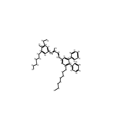 CCCCCCCCc1cc(N=CC(C)=Nc2cc(CC)c(C)c(CCCCCC)c2)cc(-c2ccccc2)c1-c1ccccc1